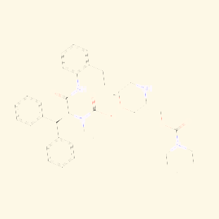 CCN(CC)C(=O)OC[C@@H]1CO[C@H](CCc2ccccc2NC(=O)[C@H](C(c2ccccc2)c2ccccc2)N(C)C(=O)O)CN1